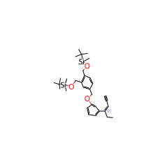 C#C/C=C(/CC)c1cccc(OCc2ccc(CO[Si](C)(C)C(C)(C)C)c(CO[Si](C)(C)C(C)(C)C)c2)c1